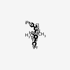 Cc1nc(N[C@H](C)c2cccc(C(F)(F)C3CCN(C(C)C)CC3)c2F)c2cc(C3CCN(C(C)C)CC3)c(Cl)nc2n1